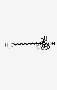 CCCCCCCCCCCCCCCCC(O)(C(=O)O)C(CC(=O)O)C(=O)O